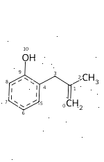 C=C(C)Cc1[c]cccc1O